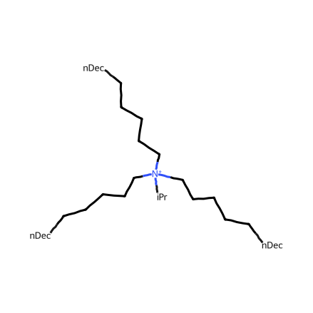 CCCCCCCCCCCCCCC[N+](CCCCCCCCCCCCCCC)(CCCCCCCCCCCCCCC)C(C)C